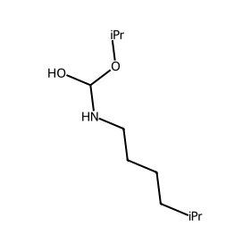 CC(C)CCCCNC(O)OC(C)C